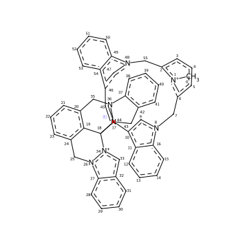 C[n+]1c2cccc1Cn1cc(c3ccccc31)/C(C13c4c(cccc4Cn4c5ccccc5c[n+]41)CN1c4ccccc4CN13)=C\c1cn(c3ccccc13)C2